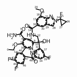 CCOc1c(C(N)=O)cc([C@](O)(CNC(=O)c2cc(OC)c3nn(C4(F)CC4)cc3c2)c2cccc(F)c2)nc1-c1cc(F)c(F)cc1C(N)=O